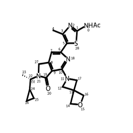 CC(=O)Nc1nc(C)c(-c2cc3c(c(N4CC5(COC5)C4)n2)C(=O)N([C@@H](C)C2CC2)C3)s1